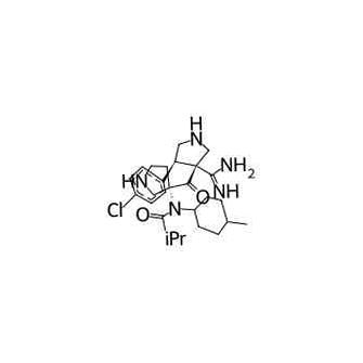 CC1CCC(N(C(=O)C(C)C)[C@@]2(C(=O)[C@]3(C(=N)N)CNC[C@@H]3c3ccc(Cl)cc3)CCNC2)CC1